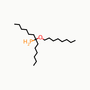 CCCCCCCCOC(P)(CCCCCC)CCCCCC